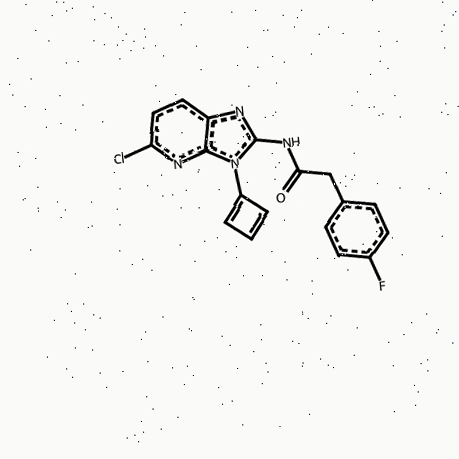 O=C(Cc1ccc(F)cc1)Nc1nc2ccc(Cl)nc2n1C1=CC=C1